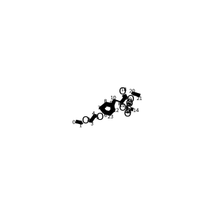 CCOCCOc1ccc(C[C@H](OS(C)(=O)=O)C(=O)OCC)cc1